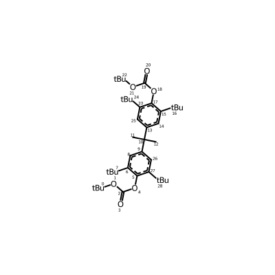 CC(C)(C)OC(=O)Oc1c(C(C)(C)C)cc(C(C)(C)c2cc(C(C)(C)C)c(OC(=O)OC(C)(C)C)c(C(C)(C)C)c2)cc1C(C)(C)C